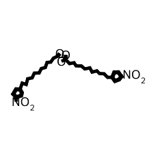 O=C(CCCCCCCCCCCc1ccc([N+](=O)[O-])cc1)OC(=O)CCCCCCCCCCCc1ccc([N+](=O)[O-])cc1